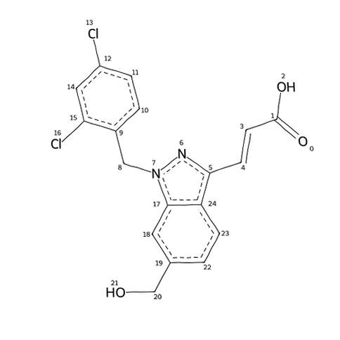 O=C(O)C=Cc1nn(Cc2ccc(Cl)cc2Cl)c2cc(CO)ccc12